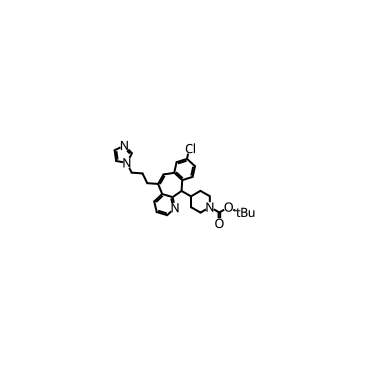 CC(C)(C)OC(=O)N1CCC(C2c3ccc(Cl)cc3C=C(CCCn3ccnc3)c3cccnc32)CC1